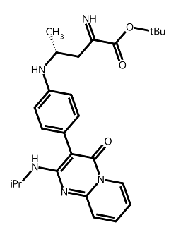 CC(C)Nc1nc2ccccn2c(=O)c1-c1ccc(N[C@H](C)CC(=N)C(=O)OC(C)(C)C)cc1